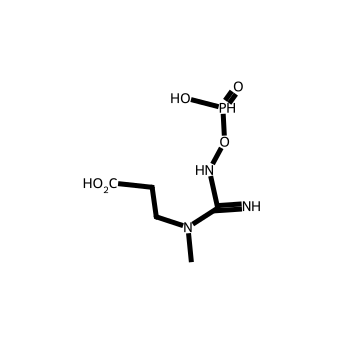 CN(CCC(=O)O)C(=N)NO[PH](=O)O